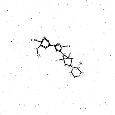 CC(C)n1nc(-c2cnc(N)c(OC(F)(F)F)c2)cc1[C@H]1[C@@H]2C[C@@H](N3CCOC[C@H]3C)C[C@@H]21